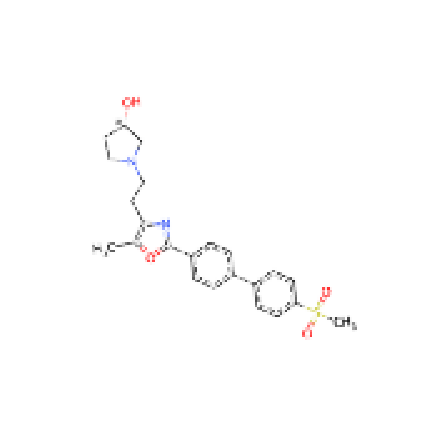 Cc1oc(-c2ccc(-c3ccc(S(C)(=O)=O)cc3)cc2)nc1CCN1CC[C@H](O)C1